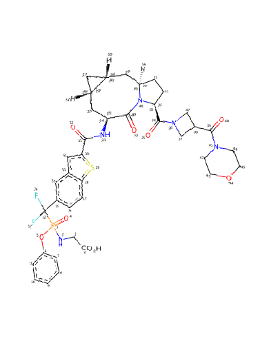 O=C(O)CNP(=O)(Oc1ccccc1)C(F)(F)c1ccc2sc(C(=O)N[C@H]3C[C@@H]4C[C@@H]4C[C@H]4CC[C@@H](C(=O)N5CC(C(=O)N6CCOCC6)C5)N4C3=O)cc2c1